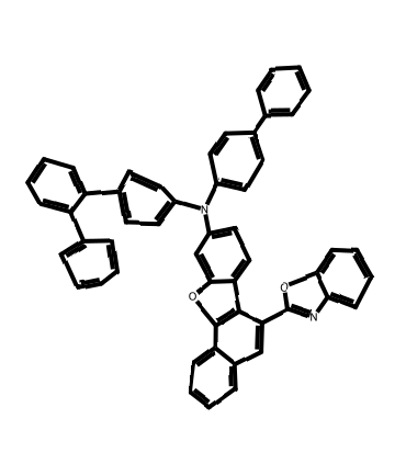 c1ccc(-c2ccc(N(c3ccc(-c4ccccc4-c4ccccc4)cc3)c3ccc4c(c3)oc3c5ccccc5cc(-c5nc6ccccc6o5)c43)cc2)cc1